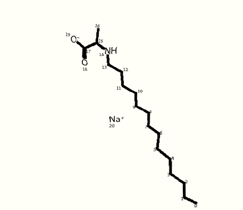 CCCCCCCCCCCCCCNC(C)C(=O)[O-].[Na+]